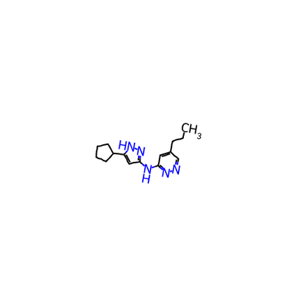 CCCc1cnnc(Nc2cc(C3CCCC3)[nH]n2)c1